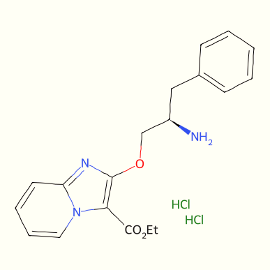 CCOC(=O)c1c(OC[C@H](N)Cc2ccccc2)nc2ccccn12.Cl.Cl